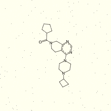 O=C(C1CCCC1)N1CCc2c(ncnc2N2CCN(C3CCC3)CC2)C1